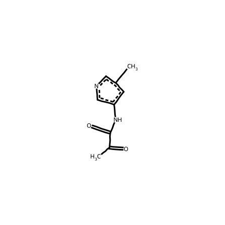 CC(=O)C(=O)Nc1cncc(C)c1